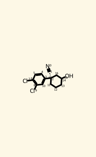 N#C[C@@]1(c2ccc(Cl)c(Cl)c2)CCCC(O)C1